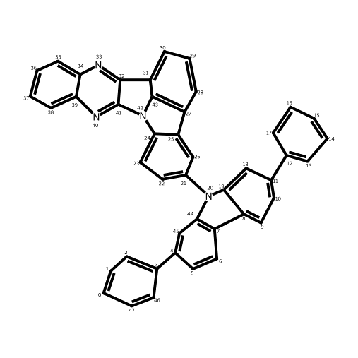 c1ccc(-c2ccc3c4ccc(-c5ccccc5)cc4n(-c4ccc5c(c4)c4cccc6c7nc8ccccc8nc7n5c46)c3c2)cc1